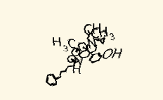 CC(=O)OC12CC[C@@H](NC(=O)CCCCCc3ccccc3)C[C@@]1(c1cccc(O)c1)CC[N@+](CC(C)C)(CC1CC1)C2